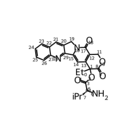 CCC1(OC(=O)[C@@H](N)C(C)C)C(=O)OCc2c1cc1n(c2=O)Cc2cc3ccccc3nc2-1